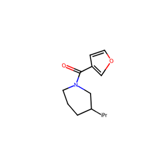 CC(C)C1CCCN(C(=O)c2ccoc2)C1